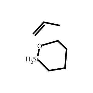 C1CC[SiH2]OC1.C=CC